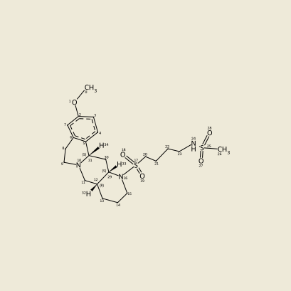 COc1ccc2c(c1)CCN1C[C@H]3CCCN(S(=O)(=O)CCCCNS(C)(=O)=O)[C@H]3C[C@@H]21